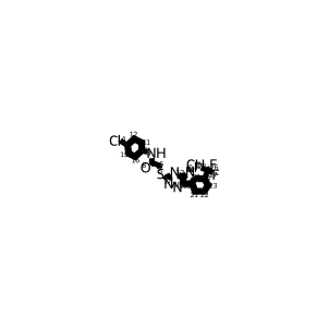 Cn1c2nc(SCC(=O)Nc3ccc(Cl)cc3)nnc2c2cccc(C(F)(F)F)c21